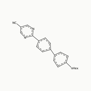 CCCCCCc1ccc(-c2ccc(-c3ncc(C#N)cn3)cc2)cc1